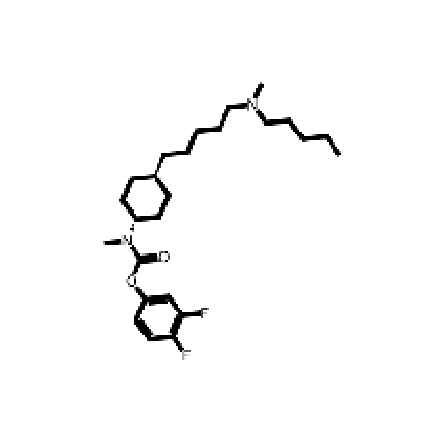 CCCCCN(C)CCCCC[C@H]1CC[C@H](N(C)C(=O)Oc2ccc(F)c(F)c2)CC1